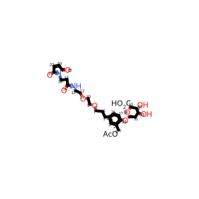 CC(=O)OCc1cc(CCCOCCOCCNC(=O)CCN2C(=O)C=CC2=O)ccc1OC1CC(O)[C@H](O)C(C(=O)O)O1